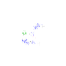 CN(CCOCCN(C)c1ccc(N=Nc2scc[n+]2C)cc1)c1ccc(N=Nc2scc[n+]2C)cc1.[Cl-].[Cl-]